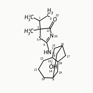 CC(C)C1(C)SC(N[C@H]2C3CCC[C@@]4(O)CC2CC4C3)=NC1=O